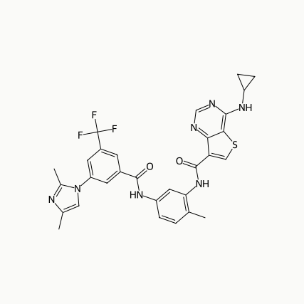 Cc1cn(-c2cc(C(=O)Nc3ccc(C)c(NC(=O)c4csc5c(NC6CC6)ncnc45)c3)cc(C(F)(F)F)c2)c(C)n1